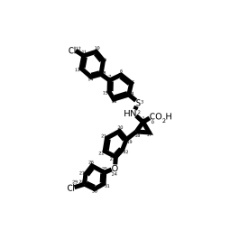 O=C(O)C1(NSc2ccc(-c3ccc(Cl)cc3)cc2)CC1c1cccc(Oc2ccc(Cl)cc2)c1